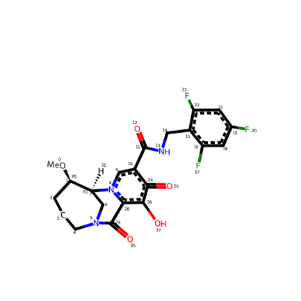 CO[C@@H]1CCCN2C[C@@H]1n1cc(C(=O)NCc3c(F)cc(F)cc3F)c(=O)c(O)c1C2=O